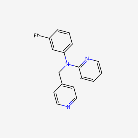 CCc1cccc(N(Cc2ccncc2)c2[c]cccn2)c1